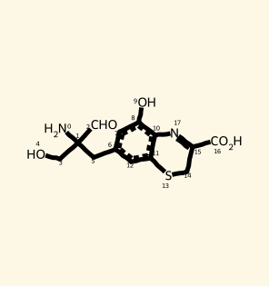 NC(C=O)(CO)Cc1cc(O)c2c(c1)SCC(C(=O)O)=N2